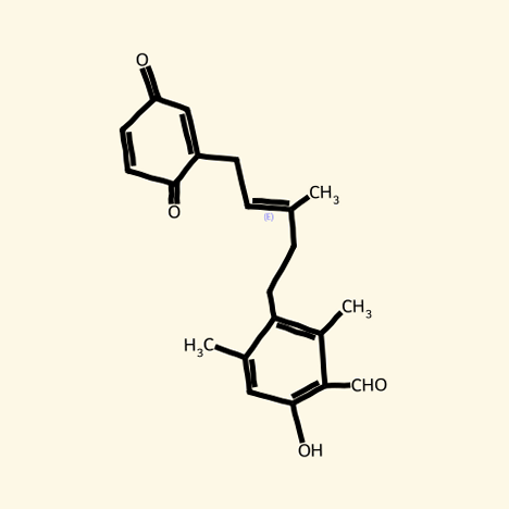 C/C(=C\CC1=CC(=O)C=CC1=O)CCc1c(C)cc(O)c(C=O)c1C